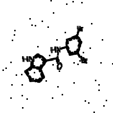 O=C(Nc1cc(Br)cc(Br)c1)c1c[nH]c2ccccc12